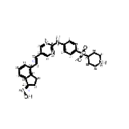 O=S(=O)(c1ccc(Nc2ncc(/C=C/c3cccc4c3CC/C4=N\O)cn2)cc1)C1CCNCC1